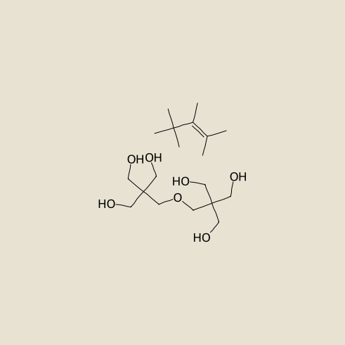 CC(C)=C(C)C(C)(C)C.OCC(CO)(CO)COCC(CO)(CO)CO